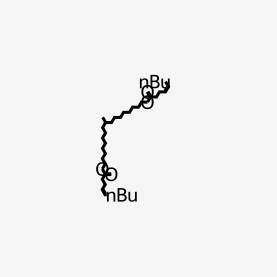 CCCC/C=C\CCC(=O)OCCCCCCCCC(C)CCCCCCCCOC(=O)CC/C=C\CCCC